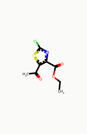 CCOC(=O)c1nc(Cl)sc1C(C)=O